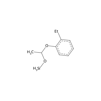 CCc1ccccc1OC(C)O[SiH3]